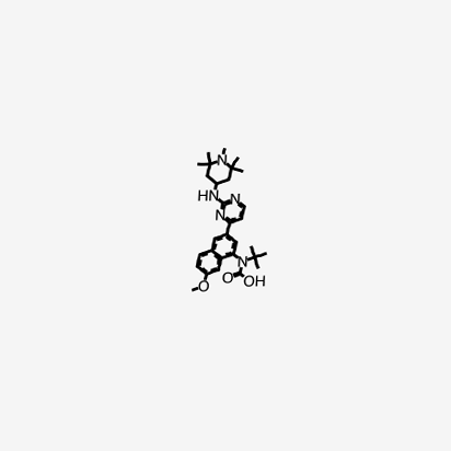 COc1ccc2cc(-c3ccnc(NC4CC(C)(C)N(C)C(C)(C)C4)n3)cc(N(C(=O)O)C(C)(C)C)c2c1